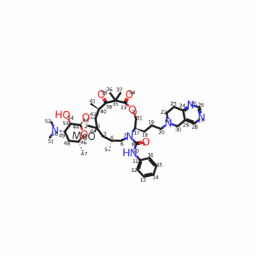 CO[C@]1(C)C[C@@H](C)CN(C(=O)Nc2ccccc2)[C@H](CCCN2CCc3ncncc3C2)COC(=O)C(C)(C)C(=O)[C@H](C)[C@H]1O[C@@H]1O[C@H](C)C[C@H](N(C)C)[C@H]1O